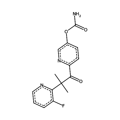 CC(C)(C(=O)c1ccc(OC(N)=O)cn1)c1ncccc1F